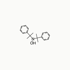 CC(C)(c1ccccc1)N(O)C(C)(C)c1ccccc1